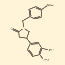 COc1ccc(C2CC(=O)N(Cc3ccc(NC(C)=O)cc3)C2)cc1OC